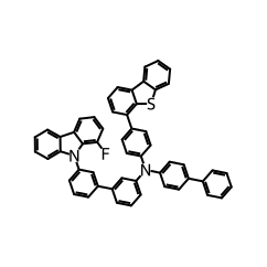 Fc1cccc2c3ccccc3n(-c3cccc(-c4cccc(N(c5ccc(-c6ccccc6)cc5)c5ccc(-c6cccc7c6sc6ccccc67)cc5)c4)c3)c12